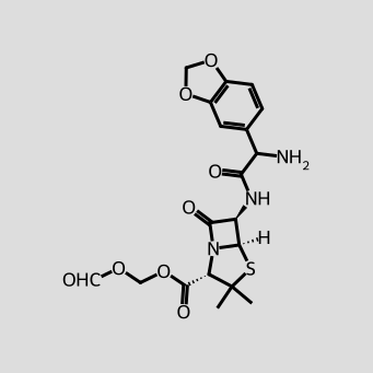 CC1(C)S[C@@H]2[C@H](NC(=O)C(N)c3ccc4c(c3)OCO4)C(=O)N2[C@H]1C(=O)OCOC=O